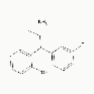 CCC(c1cccc(F)c1)c1ccccc1O.N